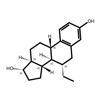 CC[C@H]1Cc2cc(O)ccc2[C@H]2CC[C@H]3[C@@H](CC[C@@H]3O)[C@H]12